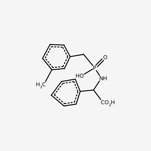 Cc1cccc(CP(=O)(O)NC(C(=O)O)c2ccccc2)c1